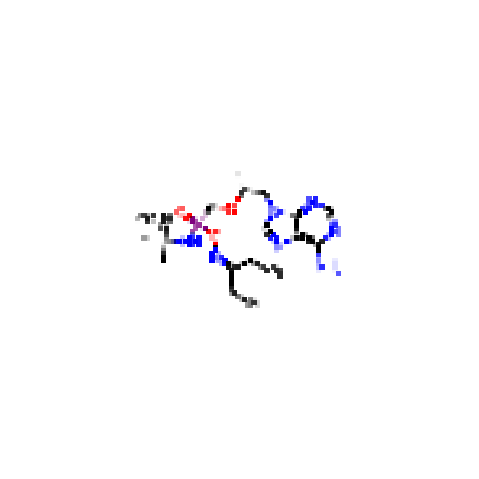 CC(C)CC(CC(C)C)=NO[P@](=O)(CO[C@H](C)Cn1cnc2c(N)ncnc21)NC(C)(C)C(=O)O